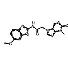 COc1ccc2nc(NC(=O)Cn3cnc4c3cnc(=O)n4C)sc2c1